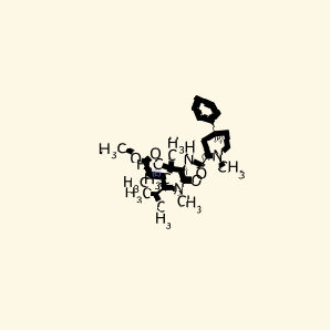 CCOC(=O)/C(C)=C/[C@H](C(C)C)N(C)C(=O)[C@@H](NC(=O)[C@@H]1C[C@H](c2ccccc2)CCN1C)C(C)(C)C